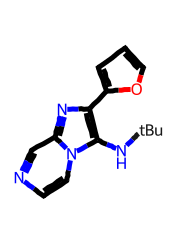 CC(C)(C)Nc1c(-c2ccco2)nc2cnccn12